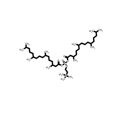 CC(C)CCCC(C)CCCC(C)CCCC(C)CC(=O)OP(=O)(OCC[N+](C)(C)C)OC(=O)CC(C)CCCC(C)CCCC(C)CCCC(C)C